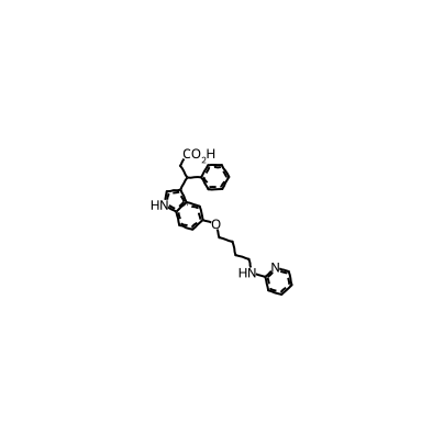 O=C(O)CC(c1ccccc1)c1c[nH]c2ccc(OCCCCNc3ccccn3)cc12